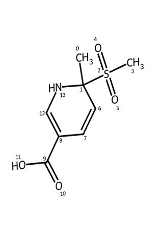 CC1(S(C)(=O)=O)C=CC(C(=O)O)=CN1